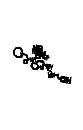 C.C.Cl.Cl.O=C(C[C]1CCCCCCC1)Nc1cccc2nc(NCCNCCO)ccc12